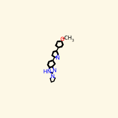 COc1ccc(-c2ccc(-c3ccc4[nH]c(N5CCCC5)nc4c3)nc2)cc1